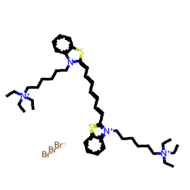 CC[N+](CC)(CC)CCCCCCN1C(=CC=CC=CC=Cc2sc3ccccc3[n+]2CCCCCC[N+](CC)(CC)CC)Sc2ccccc21.[Br-].[Br-].[Br-]